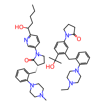 CCCCC(O)c1ccc(N2CC[C@H](Cc3ccccc3N3CCN(C)CC3)C2=O)cn1.CCN1CCN(c2ccccc2Cc2cc(N3CCCC3=O)ccc2C(C)(C)O)CC1